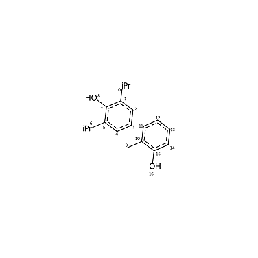 CC(C)c1cccc(C(C)C)c1O.Cc1ccccc1O